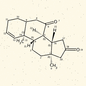 C[C@]12CC[C@H]3[C@@H](C(=O)CC4CCC=C[C@@]43C)[C@@H]1CC(=O)C2